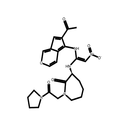 CC(=O)c1cc2coccc-2c1NC(=C[N+](=O)[O-])N[C@H]1CCCCN(CC(=O)N2CCCC2)C1=O